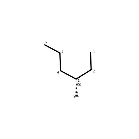 [CH2][C@@H](CC)CCC